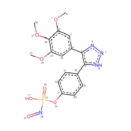 COc1cc(-c2nn[nH]c2-c2ccc(OP(=O)(O)N=O)cc2)cc(OC)c1OC